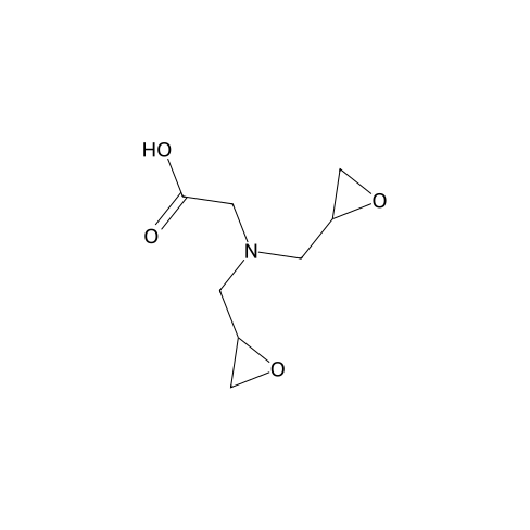 O=C(O)CN(CC1CO1)CC1CO1